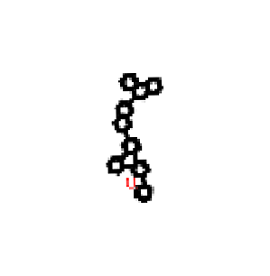 c1ccc2c(c1)cc(-c1ccc3ccc(-c4ccc5c(c4)c4ccccc4c4c5ccc5c6ccccc6oc54)cc3c1)c1ccccc12